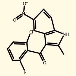 Cc1[nH]c2ccc([N+](=O)[O-])cc2c1C(=O)c1c(F)cccc1Cl